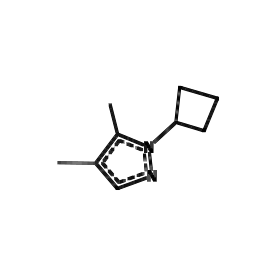 Cc1cnn(C2CCC2)c1C